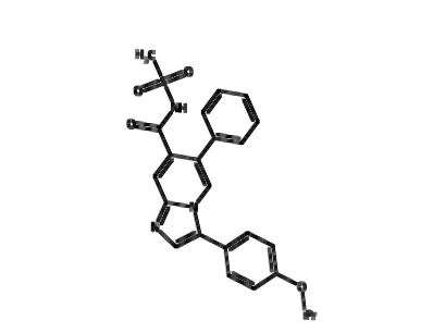 CC(C)Oc1ccc(-c2cnc3cc(C(=O)NS(C)(=O)=O)c(-c4ccccc4)cn23)cc1